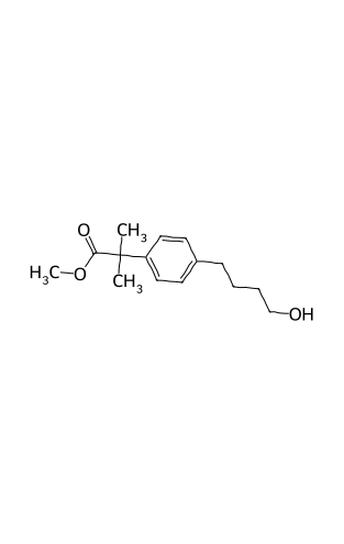 COC(=O)C(C)(C)c1ccc(CCCCO)cc1